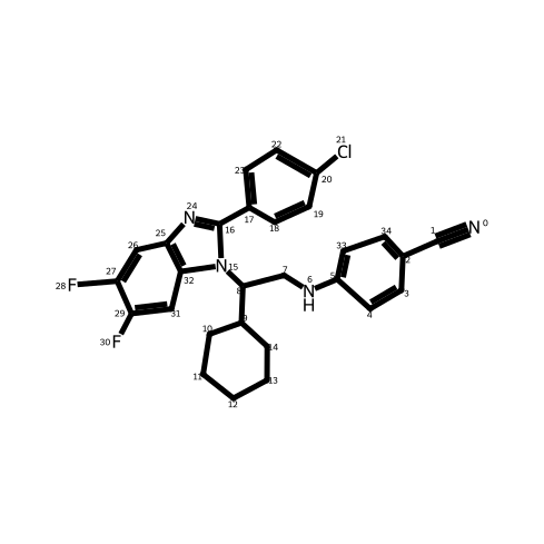 N#Cc1ccc(NCC(C2CCCCC2)n2c(-c3ccc(Cl)cc3)nc3cc(F)c(F)cc32)cc1